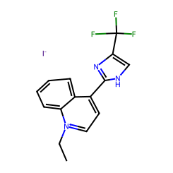 CC[n+]1ccc(-c2nc(C(F)(F)F)c[nH]2)c2ccccc21.[I-]